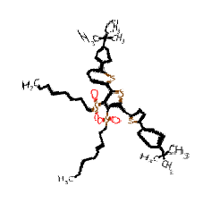 CCCCCCCCS(=O)(=O)c1c(-c2ccc(-c3ccc(C(C)(C)C)cc3)s2)sc(-c2ccc(-c3ccc(C(C)(C)C)cc3)s2)c1S(=O)(=O)CCCCCCCC